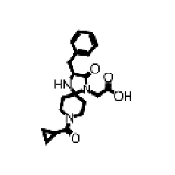 O=C(O)CN1C(=O)C(Cc2ccccc2)NC12CCN(C(=O)C1CC1)CC2